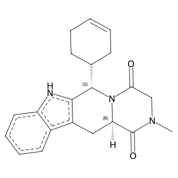 CN1CC(=O)N2[C@H](Cc3c([nH]c4ccccc34)[C@@H]2C2CC=CCC2)C1=O